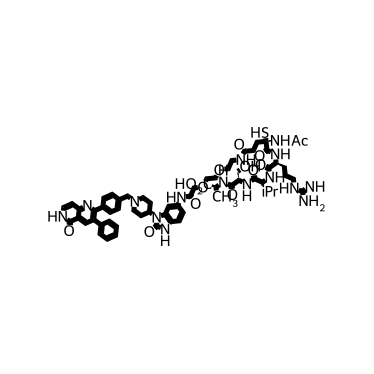 CC(=O)N[C@@](S)(CCC(=O)NCCOCCOCC(=O)Nc1ccc2[nH]c(=O)n(C3CCN(Cc4ccc(-c5nc6cc[nH]c(=O)c6cc5-c5ccccc5)cc4)CC3)c2c1)C(=O)N[C@@H](CCCNC(=N)N)C(=O)N[C@H](C(=O)N[C@@H](CO)C(=O)N[C@@H](C)C(=O)O)C(C)C